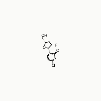 O=c1nc(Cl)ccn1[C@@H]1O[C@H](CO)C[C@@H]1F